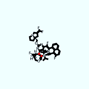 CC(C)[Si](C#Cc1c(F)ccc2cccc(-c3ncc4c(N5CCOC[C@H]6[C@H](F)[C@H]65)nc(OC[C@@]56CCCN5CC(=C(F)F)C6)nc4c3F)c12)(C(C)C)C(C)C